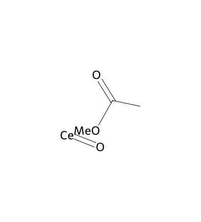 COC(C)=O.[O]=[Ce]